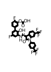 O=C(O)Oc1cc(-c2cc(F)cc(NN=C3C(=O)N(c4ccc(C(F)(F)F)cc4)c4cc(C(F)(F)F)ccc43)c2O)ccc1F